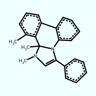 Cc1cccc2c1C1(C)N(C)C=C(c3ccccc3)N1c1ccccc1-2